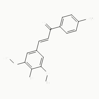 CCCOc1cc(C=CC(=O)c2ccc(OC)cc2)cc(OCCC)c1CCC